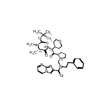 C[C@@H](C(=O)N[C@H](C(=O)N1CCC[C@H]1CN(CCc1ccccc1)C(=O)c1cn2cccnc2n1)C1CCOCC1)N(C)C(=O)OC(C)(C)C